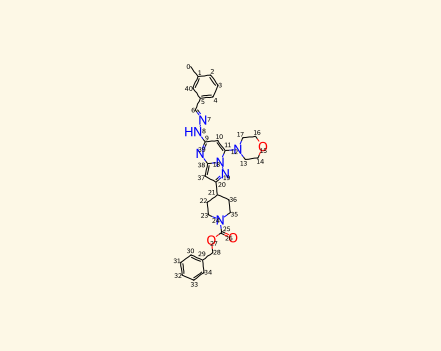 Cc1cccc(/C=N/Nc2cc(N3CCOCC3)n3nc(C4CCN(C(=O)OCc5ccccc5)CC4)cc3n2)c1